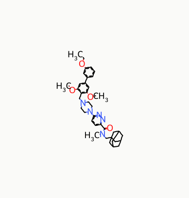 CCOc1cccc(-c2cc(OC)c(CN3CCN(c4ccc(C(=O)N(C)CC56CC7CC(CC(C7)C5)C6)nn4)CC3)c(OC)c2)c1